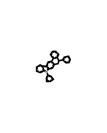 c1ccc(C2Cc3cc4c(cc3-c3ccccc32)c2ccccc2n4-c2ccccc2)cc1